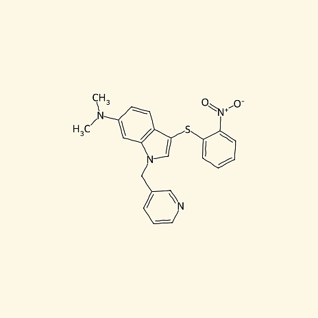 CN(C)c1ccc2c(Sc3ccccc3[N+](=O)[O-])cn(Cc3cccnc3)c2c1